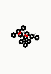 c1ccc(-c2ccc(-c3ccccc3N(c3ccc(-c4ccc5c(c4)oc4ccccc45)cc3)c3ccccc3-c3cccc4c3-c3ccccc3C4(c3ccccc3)c3ccccc3)cc2)cc1